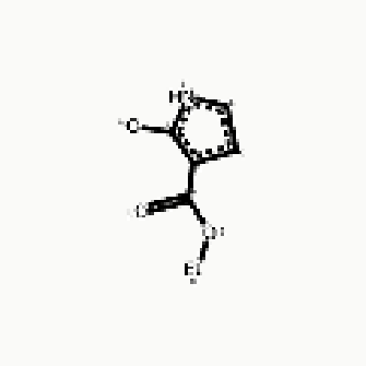 CCOC(=O)c1cc[nH]c1[O]